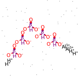 O=[PH]([O-])[O-].O=[PH]([O-])[O-].O=[PH]([O-])[O-].O=[PH]([O-])[O-].O=[PH]([O-])[O-].[Al+3].[Al+3].[H+].[H+].[H+].[H+]